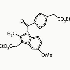 CCOC(=O)Cc1ccc(C(=O)n2c(C)c(CC(=O)OCC)c3cc(OC)ccc32)cc1